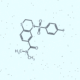 CN(C)C(=O)c1ccc2c(c1)N(S(=O)(=O)c1ccc(F)cc1)CCS2